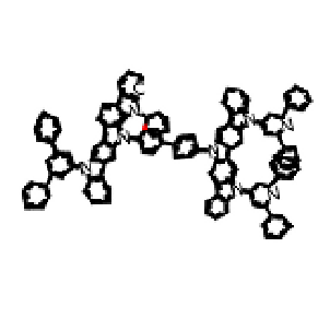 c1ccc(-c2cc(-c3ccccc3)cc(-n3c4ccccc4c4cc5c(cc43)c3ccc4c6ccccc6n(-c6ccccc6)c4c3n5-c3ccc(-c4ccc(-n5c6cc7c8ccccc8n(-c8cc(-c9ccccc9)nc(-c9ccccc9)c8)c7cc6c6cc7c(cc65)c5ccccc5n7-c5cc(-c6ccccc6)nc(-c6ccccc6)c5)cc4)cc3)c2)cc1